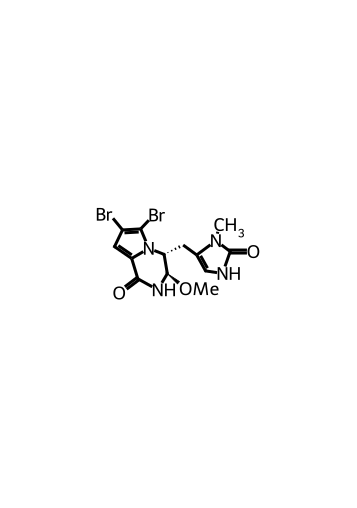 CO[C@H]1NC(=O)c2cc(Br)c(Br)n2[C@@H]1Cc1c[nH]c(=O)n1C